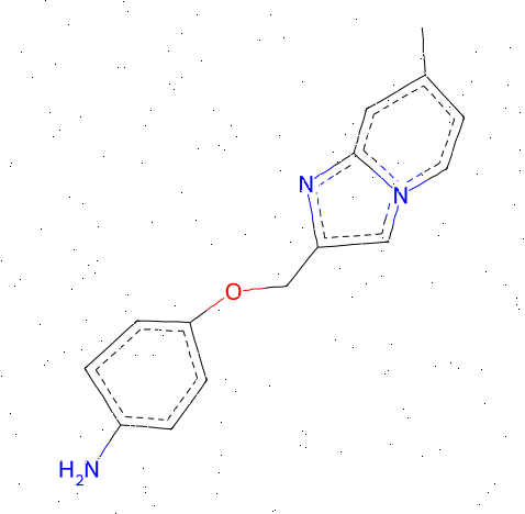 Cc1ccn2cc(COc3ccc(N)cc3)nc2c1